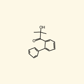 CC(C)(O)C(=O)c1ccccc1-c1ccccc1